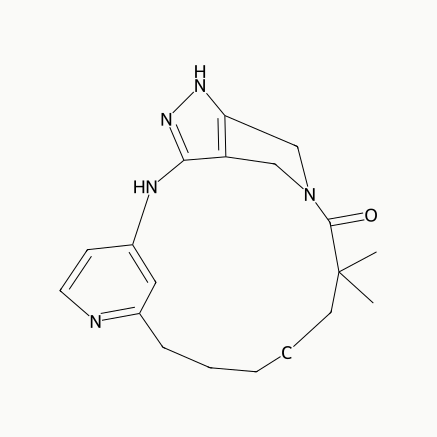 CC1(C)CCCCCc2cc(ccn2)Nc2n[nH]c3c2CN(C3)C1=O